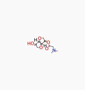 CN(C)CC(=O)O[C@@H]1CO[C@H]2[C@@H]1OC[C@@H]2O